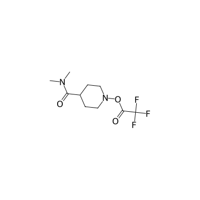 CN(C)C(=O)C1CCN(OC(=O)C(F)(F)F)CC1